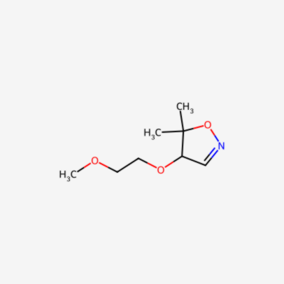 COCCOC1C=NOC1(C)C